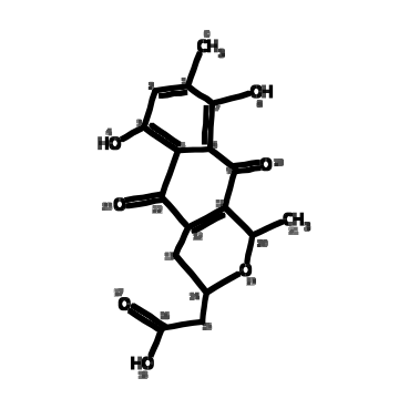 Cc1cc(O)c2c(c1O)C(=O)C1=C(CC(CC(=O)O)OC1C)C2=O